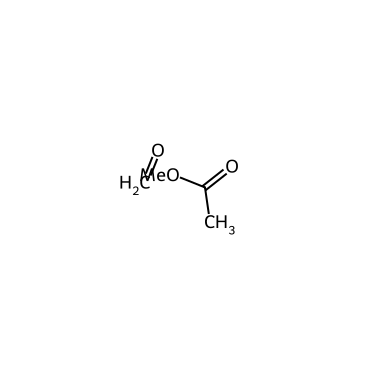 C=O.COC(C)=O